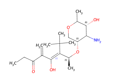 C=C(C(=O)CC)/C(O)=C(/[C@H](C)O[C@@H]1COC(C)[C@H](O)C1N)C(C)(C)C